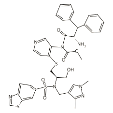 COC(=O)N(C(=O)[C@@H](N)C(c1ccccc1)c1ccccc1)c1cnccc1SC[C@@H](CO)N(Cc1cn(C)nc1C)S(=O)(=O)c1ccc2ncsc2c1